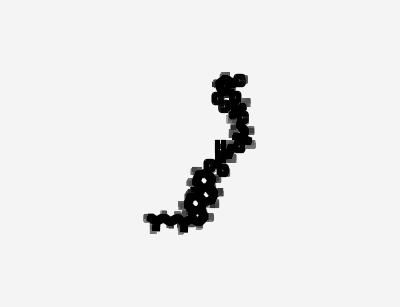 CC(C)CCCC(C)C1CCC2C3CC=C4C[C@@H](OC(=O)NCCOC(C)(C)CCOC(C)(C)C(=O)ON5C(=O)CCC5=O)CC[C@]4(C)C3CC[C@]12C